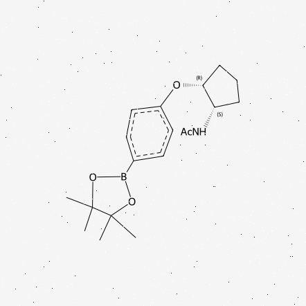 CC(=O)N[C@H]1CCC[C@H]1Oc1ccc(B2OC(C)(C)C(C)(C)O2)cc1